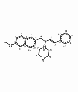 COc1ccc2cc(CC(/C=C/c3ccccc3)N3CCOCC3)ccc2c1